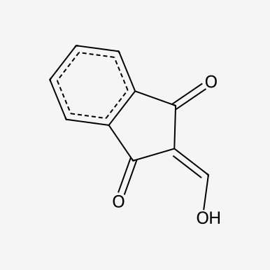 O=C1C(=CO)C(=O)c2ccccc21